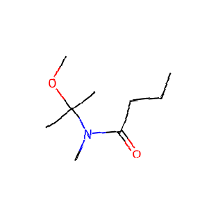 CCCC(=O)N(C)C(C)(C)OC